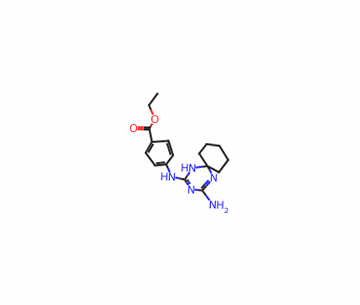 CCOC(=O)c1ccc(NC2=NC(N)=NC3(CCCCC3)N2)cc1